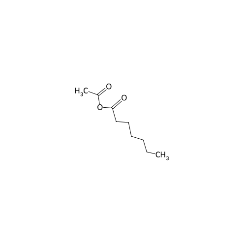 CCCCCCC(=O)OC(C)=O